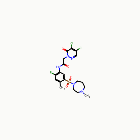 Cc1cc(F)c(NC(=O)Cn2ncc(Cl)c(Cl)c2=O)cc1S(=O)(=O)N1CCCN(C)CC1